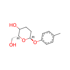 Cc1ccc(O[C@@H]2CCC(O)[C@@H](CO)O2)cc1